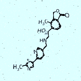 Cc1ncc(-c2ccc(CNC[C@H](O)c3ccc4c(c3C)COC4=O)cn2)s1